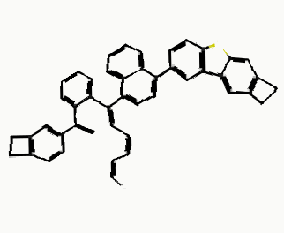 C=C(c1ccc2c(c1)CC2)c1ccccc1/C(=C/C=C\C=C/CC)c1ccc(-c2ccc3sc4cc5c(cc4c3c2)CC5)c2ccccc12